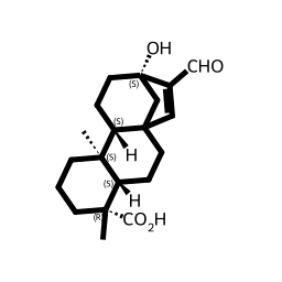 C[C@@]12CCC[C@@](C)(C(=O)O)[C@H]1CCC13C=C(C=O)[C@](O)(CC[C@H]12)C3